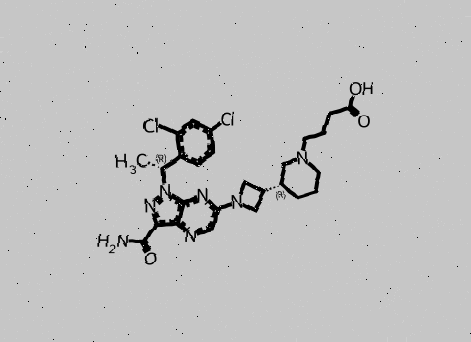 C[C@H](c1ccc(Cl)cc1Cl)n1nc(C(N)=O)c2ncc(N3CC([C@H]4CCCN(CCCC(=O)O)C4)C3)nc21